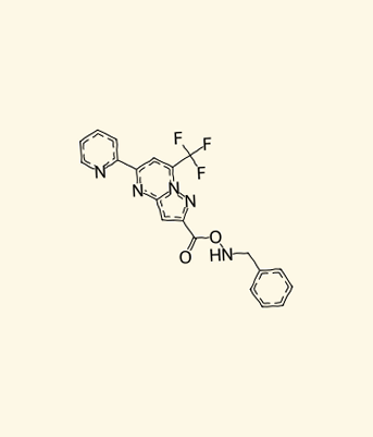 O=C(ONCc1ccccc1)c1cc2nc(-c3ccccn3)cc(C(F)(F)F)n2n1